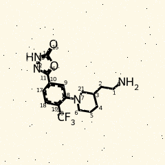 NCCC1CCCN(c2cc(-c3n[nH]c(=O)o3)ccc2C(F)(F)F)C1